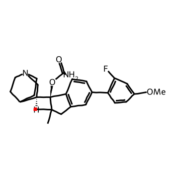 COc1ccc(-c2ccc3c(c2)CC(C)(C)[C@]3(OC(N)=O)[C@@H]2CN3CCC2CC3)c(F)c1